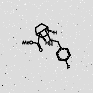 COC(=O)[C@@H]1C2CCC(CC2)[C@@H]1NCc1ccc(F)cc1